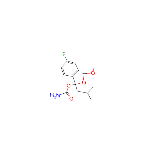 COCOC(CC(C)C)(OC(N)=O)c1ccc(F)cc1